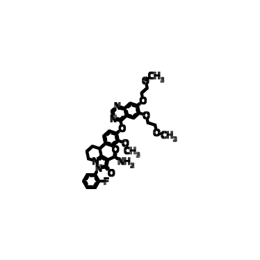 COCCOc1cc2ncnc(Oc3ccc(C4CCCn5c4c(C(N)=O)c(=O)n5-c4ccccc4F)cc3OC)c2cc1OCCOC